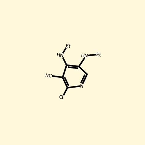 CCNc1cnc(Cl)c(C#N)c1NCC